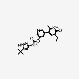 CCc1cc(-c2cncc(OC(=O)Nc3cc(C(C)(C)C)[nH]n3)c2)c(C)[nH]c1=O